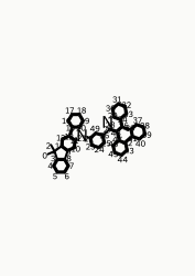 CC1(C)c2ccccc2-c2cc3c(cc21)c1ccccc1n3-c1cccc(-c2nc3ccccc3c3c4ccccc4c4ccccc4c23)c1